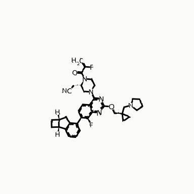 C=C(F)C(=O)N1CCN(c2nc(OCC3(CN4CCCC4)CC3)nc3c(F)c(-c4cccc5c4C[C@H]4CC[C@@H]54)ccc23)C[C@@H]1CC#N